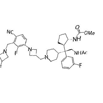 COC(=O)N[C@H]1CCC[C@@H]1[C@](CNC(C)=O)(c1cccc(F)c1)C1CCN(CC2CN(c3ccc(C#N)c(CN4CC(F)C4)c3F)C2)CC1